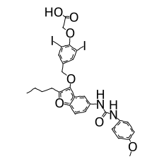 CCCCc1oc2ccc(NC(=O)Nc3ccc(OC)cc3)cc2c1OCc1cc(I)c(OCC(=O)O)c(I)c1